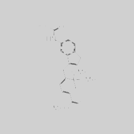 COC(=O)C1=CC=C(CC2=CCc3ccc(NC(=O)C(F)(F)F)cc32)C(OC)(OC)C1